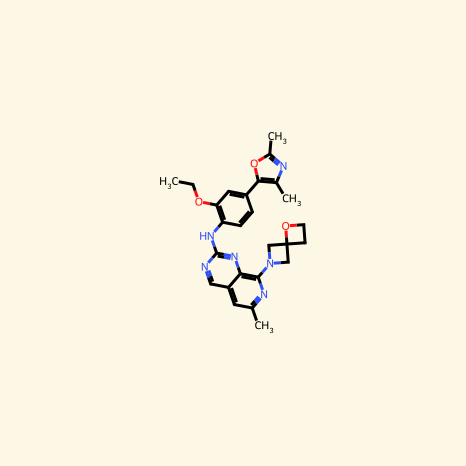 CCOc1cc(-c2oc(C)nc2C)ccc1Nc1ncc2cc(C)nc(N3CC4(CCO4)C3)c2n1